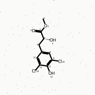 COC(=O)[C@H](O)Cc1cc(Cl)c(O)c(Cl)c1